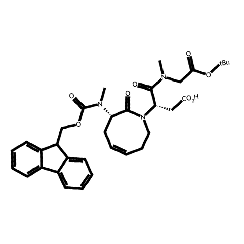 CN(CC(=O)OC(C)(C)C)C(=O)[C@H](CC(=O)O)N1CC/C=C\C[C@H](N(C)C(=O)OCC2c3ccccc3-c3ccccc32)C1=O